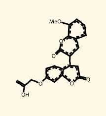 C=C(O)COc1ccc2c(-c3cc4cccc(OC)c4oc3=O)cc(=O)oc2c1